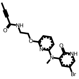 CC#CC(=O)NCCOc1cccc(N(C)c2cc(Br)c[nH]c2=O)n1